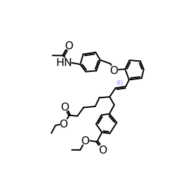 CCOC(=O)CCCCC(/C=C/c1ccccc1OCc1ccc(NC(C)=O)cc1)Cc1ccc(C(=O)OCC)cc1